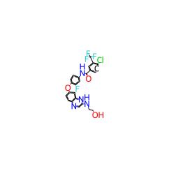 O=C(Nc1ccc(Oc2ccc3ncc(NCCO)nc3c2)c(F)c1)c1ccc(Cl)c(C(F)(F)F)c1